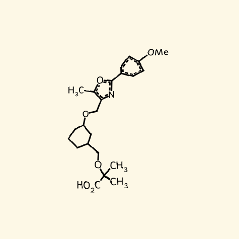 COc1ccc(-c2nc(COC3CCCC(COC(C)(C)C(=O)O)C3)c(C)o2)cc1